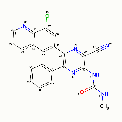 CNC(=O)Nc1nc(-c2ccccc2)c(-c2cc(Cl)c3ncccc3c2)nc1C#N